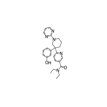 CCN(CC)C(=O)c1ccc(C2(c3cccc(O)c3)CCCN(c3ncccn3)C2)nc1